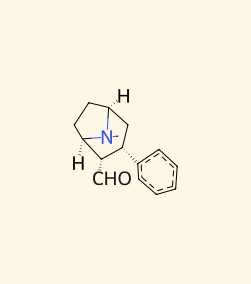 CN1[C@H]2CC[C@@H]1[C@@H](C=O)[C@@H](c1ccccc1)C2